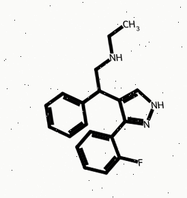 CCNCC(c1ccccc1)c1c[nH]nc1-c1ccccc1F